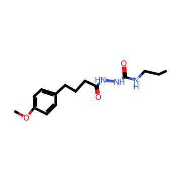 CCCNC(=O)NNC(=O)CCCc1ccc(OC)cc1